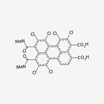 CNC(=O)c1c(Cl)c(Cl)c2c3ccc(C(=O)O)c4c(C(=O)O)c(Cl)c(Cl)c(c5c(Cl)c(Cl)c(C(=O)NC)c1c25)c43